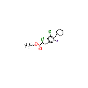 CCOC(=O)C(Cl)Cc1cc(F)c(C2CCCCC2)c(I)c1